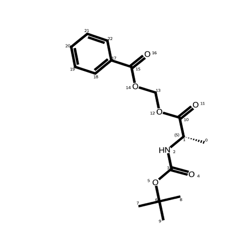 C[C@H](NC(=O)OC(C)(C)C)C(=O)OCOC(=O)c1ccccc1